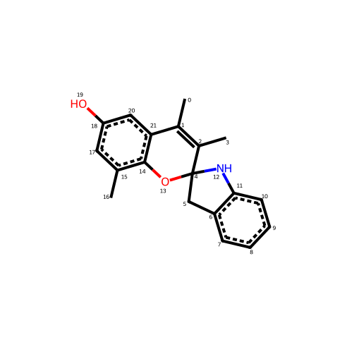 CC1=C(C)C2(Cc3ccccc3N2)Oc2c(C)cc(O)cc21